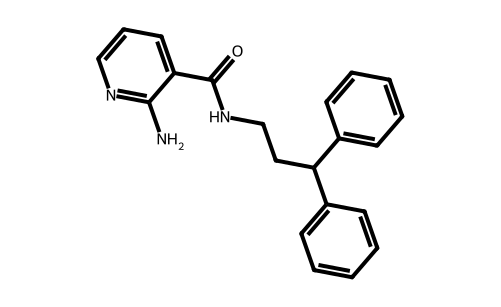 Nc1ncccc1C(=O)NCCC(c1ccccc1)c1ccccc1